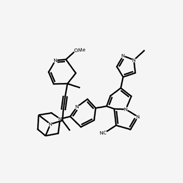 COC1=NC=CC(C)(C#CC(C)N2C3CC2CN(c2ccc(-c4cc(-c5cnn(C)c5)cn5ncc(C#N)c45)cn2)C3)C1